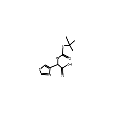 CC(C)(C)OC(=O)NC(C(=O)O)c1cscn1